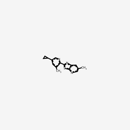 Cc1cnc2sc(-c3ncc(C4CC4)cc3C)nc2c1